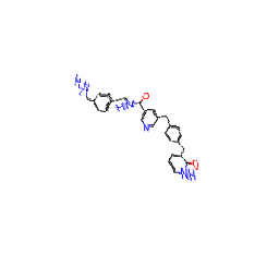 NCc1ccc(CNC(=O)c2cncc(Cc3ccc(Cc4ccc[nH]c4=O)cc3)c2)cc1